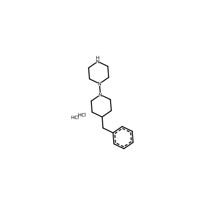 Cl.Cl.c1ccc(CC2CCN(N3CCNCC3)CC2)cc1